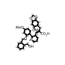 COc1ccc(-c2ncccc2C=C(Cc2cc3c(cc2OC)OCO3)C(=O)O)c(OCc2ccccc2CO)c1